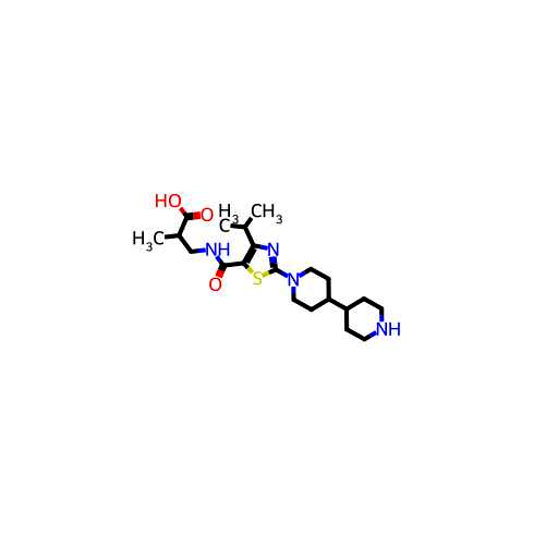 CC(CNC(=O)c1sc(N2CCC(C3CCNCC3)CC2)nc1C(C)C)C(=O)O